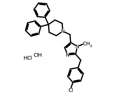 Cl.Cl.Cn1c(CN2CCC(c3ccccc3)(c3ccccc3)CC2)cnc1Cc1ccc(Cl)cc1